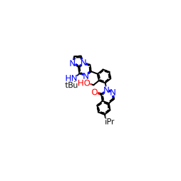 CC(C)c1ccc2c(=O)n(-c3cccc(-c4cn5ccnc5c(NC(C)(C)C)n4)c3CO)ncc2c1